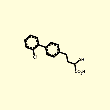 O=C(O)C(S)CCc1ccc(-c2ccccc2Cl)cc1